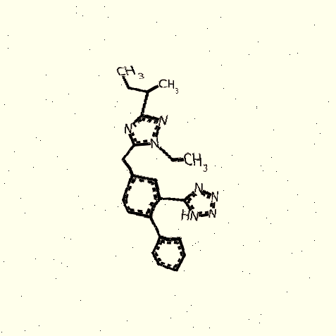 CCC(C)c1nc(Cc2ccc(-c3ccccc3)c(-c3nnn[nH]3)c2)n(CC)n1